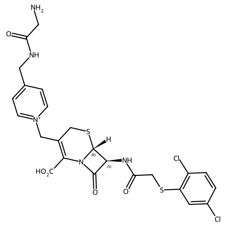 NCC(=O)NCc1cc[n+](CC2=C(C(=O)O)N3C(=O)[C@H](NC(=O)CSc4cc(Cl)ccc4Cl)[C@H]3SC2)cc1